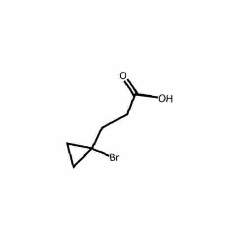 O=C(O)CCC1(Br)CC1